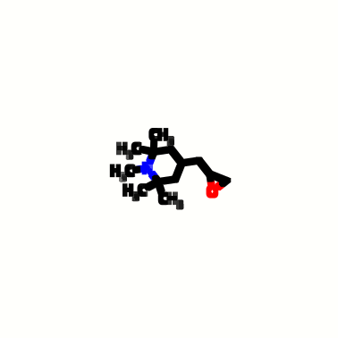 CN1C(C)(C)CC(CC2CO2)CC1(C)C